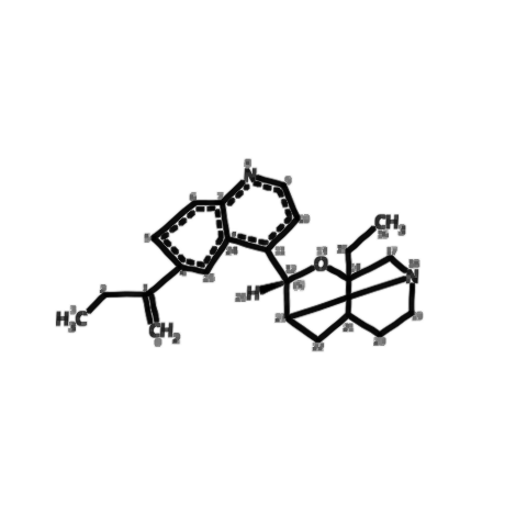 C=C(CC)c1ccc2nccc([C@@H]3OC4(CC)CN5CCC4CC35)c2c1